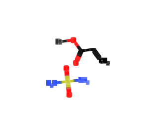 C=CC(=O)OCC.NS(N)(=O)=O